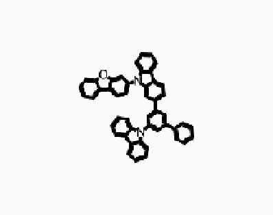 c1ccc(-c2cc(-c3ccc4c5ccccc5n(-c5ccc6c(c5)oc5ccccc56)c4c3)cc(-n3c4ccccc4c4ccccc43)c2)cc1